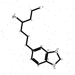 CC(C)C(CCI)CCCc1ccc2c(c1)OCO2